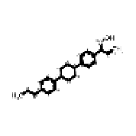 C=CC(OO)c1ccc(C2CCC(c3ccc(CCC)cc3)CC2)cc1